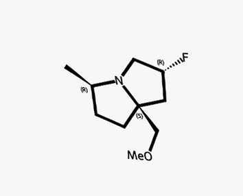 COC[C@@]12CC[C@@H](C)N1C[C@H](F)C2